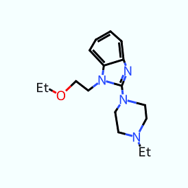 CCOCCn1c(N2CCN(CC)CC2)nc2ccccc21